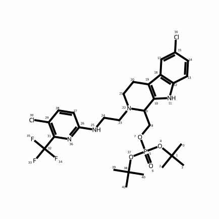 CC(C)(C)OP(=O)(OCC1c2[nH]c3ccc(Cl)cc3c2CCN1CCNc1ccc(Cl)c(C(F)(F)F)n1)OC(C)(C)C